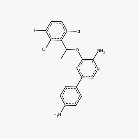 CC(Oc1nc(-c2ccc(N)cc2)cnc1N)c1c(Cl)ccc(F)c1Cl